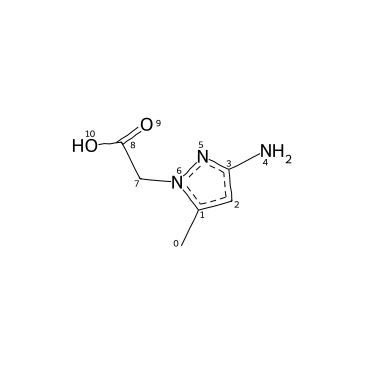 Cc1cc(N)nn1CC(=O)O